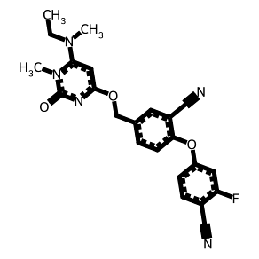 CCN(C)c1cc(OCc2ccc(Oc3ccc(C#N)c(F)c3)c(C#N)c2)nc(=O)n1C